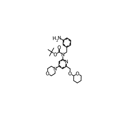 CC(C)(C)OC(=O)N(Cc1cccc(N)c1)c1cc(N2CCOCC2)cc(COC2CCCCO2)n1